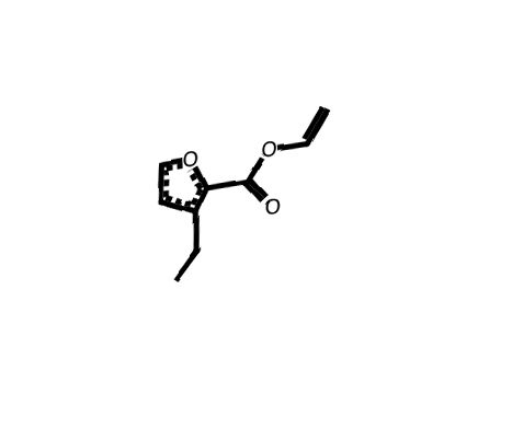 C=COC(=O)c1occc1CC